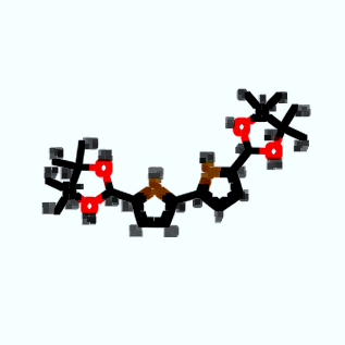 C[B-]1(C)OC(c2ccc(-c3ccc(C4O[B-](C)(C)C(C)(C)O4)s3)s2)OC1(C)C